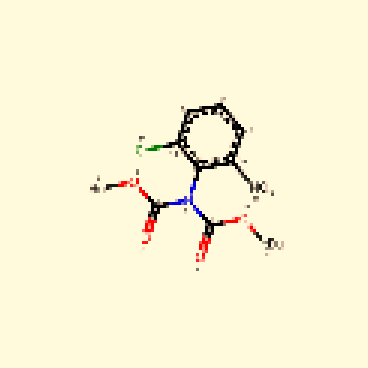 CC(C)(C)OC(=O)N(C(=O)OC(C)(C)C)c1c(Cl)cccc1[N+](=O)[O-]